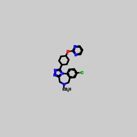 O=C(O)N1Cc2cc(Cl)ccc2-n2c(nnc2C2CCC(Oc3ncccn3)CC2)C1